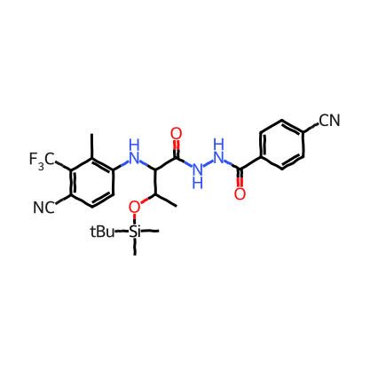 Cc1c(NC(C(=O)NNC(=O)c2ccc(C#N)cc2)C(C)O[Si](C)(C)C(C)(C)C)ccc(C#N)c1C(F)(F)F